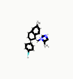 Cc1cncn1C[C@H]1c2ccc(C#N)cc2CC[C@@H]1c1ccc(F)cc1